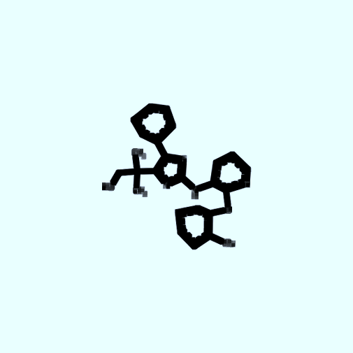 CC(C)(C)c1ccccc1Oc1ncccc1Nc1nc(C(C)(C)CO)c(-c2ccccc2)s1